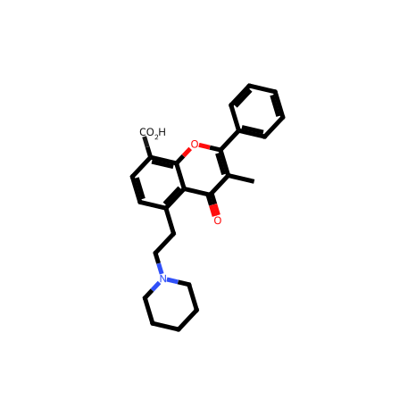 Cc1c(-c2ccccc2)oc2c(C(=O)O)ccc(CCN3CCCCC3)c2c1=O